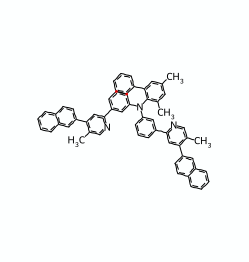 Cc1cc(C)c(N(c2cccc(-c3cc(-c4ccc5ccccc5c4)c(C)cn3)c2)c2cccc(-c3cc(-c4ccc5ccccc5c4)c(C)cn3)c2)c(-c2ccccc2)c1